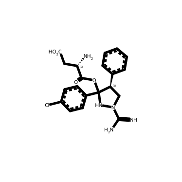 N=C(N)N1C[C@H](c2ccccc2)C(OC(=O)[C@@H](N)CC(=O)O)(c2ccc(Cl)cc2)N1